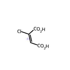 O=C(O)/C=C(/Cl)C(=O)O